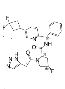 O=C(N[C@@H](c1ccccc1)c1ccc(C2CC(F)(F)C2)cn1)[C@@H]1C[C@@H](F)CN1C(=O)Cc1cnn[nH]1